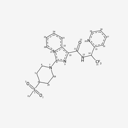 CS(=O)(=O)C1CCN(c2nc(C(=O)NC(c3ccccn3)C(F)(F)F)c3ccccn23)CC1